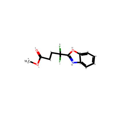 COC(=O)CCC(F)(F)c1nc2ccccc2o1